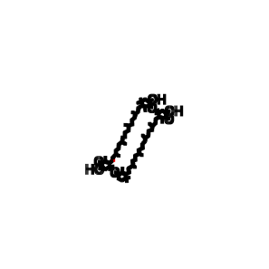 CC1=C(/C=C/C(C)=C/C=C/C(C)=C/C=C/C=C(C)/C=C/C=C(C)/C=C/C2=C(C)C(=O)C(O)CC2(C)C)C(C)(C)CC(O)C1=O.CC1=C(/C=C/C(C)=C/C=C/C(C)=C/C=C/C=C(C)/C=C/C=C(C)/C=C/C2=C(C)C(=O)C(O)CC2(C)C)C(C)(C)CCC1=O